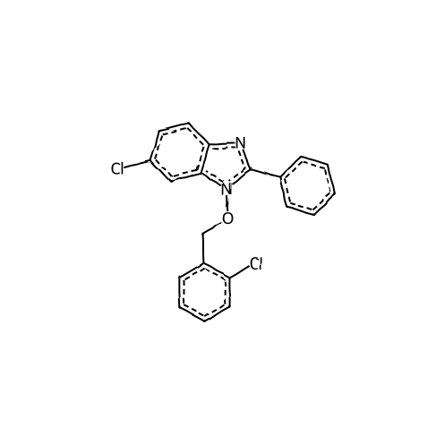 Clc1ccc2nc(-c3ccccc3)n(OCc3ccccc3Cl)c2c1